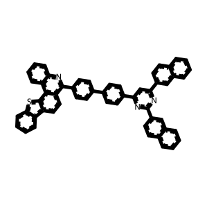 c1ccc2cc(-c3cc(-c4ccc(-c5ccc(-c6nc7ccccc7c7c6ccc6c8ccccc8sc67)cc5)cc4)nc(-c4ccc5ccccc5c4)n3)ccc2c1